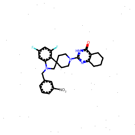 O=c1[nH]c(N2CCC3(CC2)CN(Cc2cccc([N+](=O)[O-])c2)c2cc(F)cc(F)c23)nc2c1CCCC2